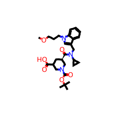 COCCCn1cc(CN(C(=O)[C@@H]2CC(C(=O)O)CN(C(=O)OC(C)(C)C)C2)C2CC2)c2ccccc21